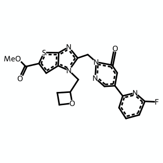 COC(=O)c1cc2c(nc(Cn3ncc(-c4cccc(F)n4)cc3=O)n2CC2CCO2)s1